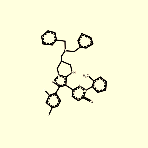 Cc1ccccc1-n1nc(-c2c(-c3ccc(F)cc3F)nn3c2NCC(CN(Cc2ccccc2)Cc2ccccc2)C3)ccc1=O